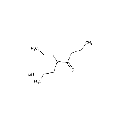 CCCC(=O)N(CCC)CCC.[LiH]